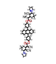 CC1(C)CC(N2CCCC2)=C(C#N)/C(=C(\C#N)C(=O)Oc2ccc(-c3c4ccccc4c(-c4ccc(OC(=O)/C(C#N)=C5\CC(C)(C)CC(N6CCCC6)=C5C#N)cc4)c4ccccc34)cc2)C1